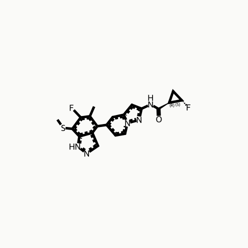 CSc1c(F)c(C)c(-c2ccn3nc(NC(=O)[C@H]4C[C@@H]4F)cc3c2)c2cn[nH]c12